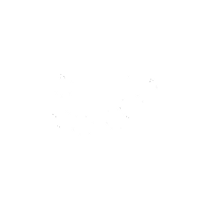 Cc1cc(-c2n[nH]c3ccc(-c4ccn(C(C)c5ccnc(C(F)(F)F)c5)c(=O)c4)cc23)ccn1